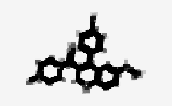 CC(C)Oc1ccc2c(c1)C(c1ccc(F)cc1)=C(C(=O)N1CCN(C)CC1)CO2